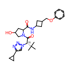 CC(C)(C)[C@@H](C(=O)N1CC(O)CC1C(=O)NC1CC(COc2ccccc2)C1)n1cc(C2CC2)nn1